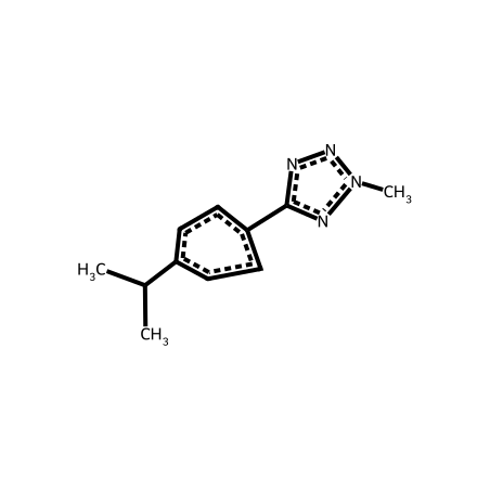 CC(C)c1ccc(-c2nnn(C)n2)cc1